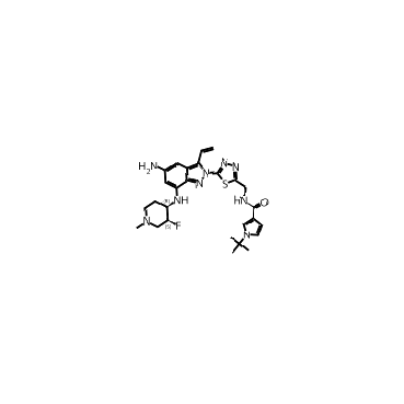 C=Cc1c2cc(N)cc(N[C@@H]3CCN(C)C[C@@H]3F)c2nn1-c1nnc(CNC(=O)c2ccn(C(C)(C)C)c2)s1